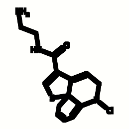 NCCNC(=O)C1=CSC23CC=CC=C2N(Cl)CC=C13